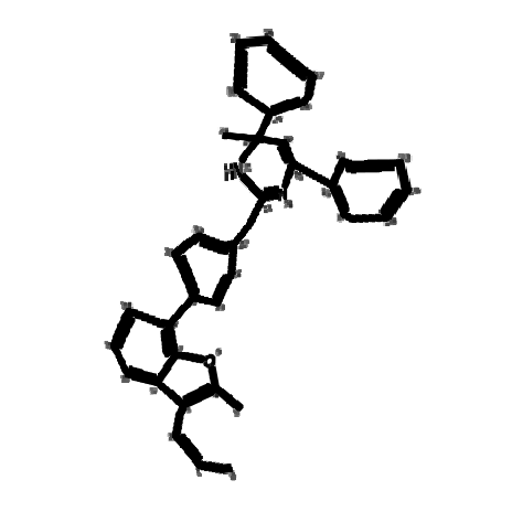 C/C=C\c1c(C)oc2c(-c3ccc(C4=NC(c5ccccc5)=CC(C)(c5ccccc5)N4)cc3)cccc12